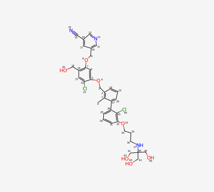 Cc1c(COc2cc(OCc3cncc(C#N)c3)c(CO)cc2Cl)cccc1-c1cccc(OCCCNC(CO)(CO)CO)c1Cl